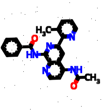 CC(=O)Nc1ccnc2c(NC(=O)c3ccccc3)nc(-c3ncccc3C)cc12